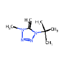 C=C1N(C)N=NN1C(C)(C)C